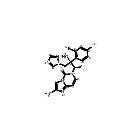 Cc1cn2c(=O)n([C@H](C)[C@](O)(Cn3cncn3)c3ccc(F)cc3F)ccc2n1